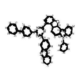 C1=CC2c3c(cccc3-c3nc(-c4ccc(-c5ccccc5)cc4)nc(-c4ccc5c(c4)sc4ccccc45)n3)OC2c2c1n(-c1ccccc1)c1ccccc21